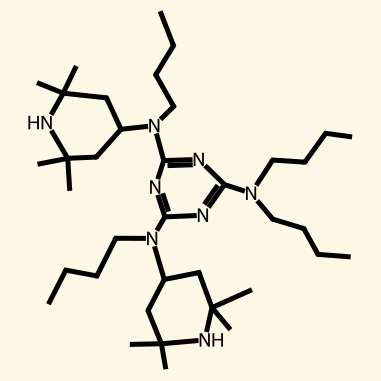 CCCCN(CCCC)c1nc(N(CCCC)C2CC(C)(C)NC(C)(C)C2)nc(N(CCCC)C2CC(C)(C)NC(C)(C)C2)n1